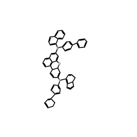 C1=CC2=C(N(C3=CC4Oc5cc(N(c6ccc(-c7ccccc7)cc6)c6cccc7ccccc67)cc6cccc(c56)C4C=C3)c3ccc(C4=CC=CCC4)cc3)C=CCC2C=1